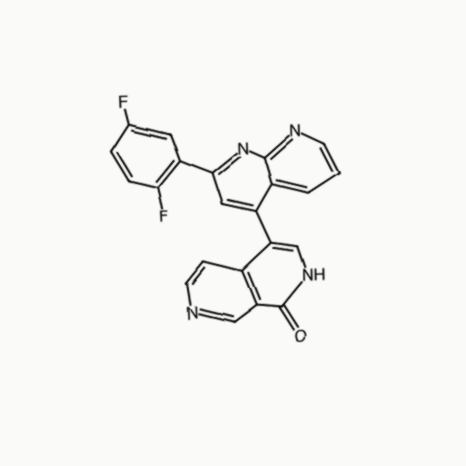 O=c1[nH]cc(-c2cc(-c3cc(F)ccc3F)nc3ncccc23)c2ccncc12